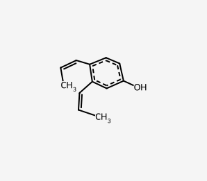 C/C=C\c1ccc(O)cc1/C=C\C